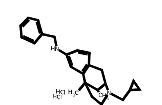 CC1C2Cc3ccc(NCc4ccccc4)cc3C1(C)CCN2CC1CC1.Cl.Cl